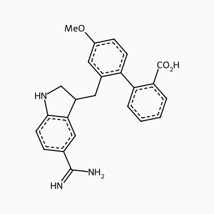 COc1ccc(-c2ccccc2C(=O)O)c(CC2CNc3ccc(C(=N)N)cc32)c1